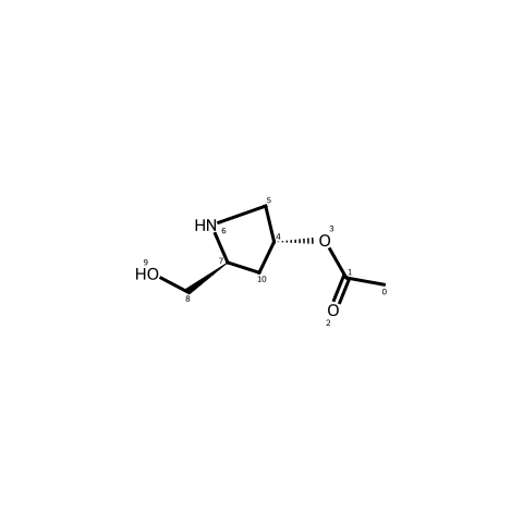 CC(=O)O[C@H]1CN[C@H](CO)C1